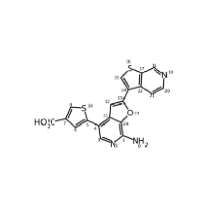 Nc1ncc(-c2cc(C(=O)O)cs2)c2cc(-c3csc4cnccc34)oc12